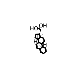 C[C@]12CC[C@H]3[C@@H](C=CC4=CCC=C[C@@]43C)[C@@H]1CC[C@@H]2CC(O)O